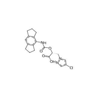 O=C(Nc1c2c(cc3c1CCC3)CCC2)O[C@H](Cn1cc(Cl)cn1)C(=O)O